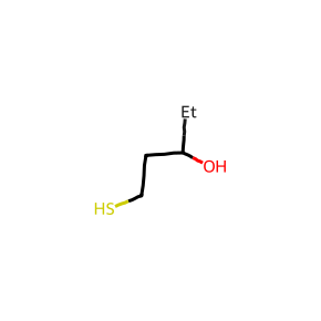 CCC(O)CCS